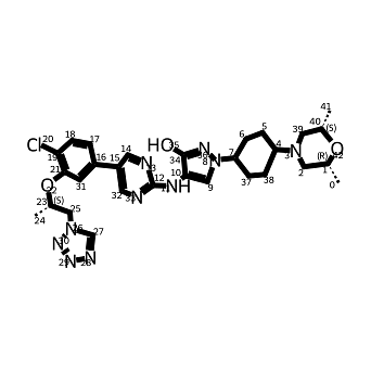 C[C@@H]1CN(C2CCC(n3cc(Nc4ncc(-c5ccc(Cl)c(O[C@@H](C)Cn6cnnn6)c5)cn4)c(O)n3)CC2)C[C@H](C)O1